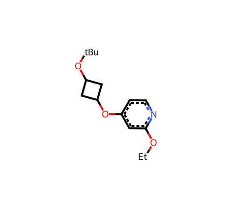 CCOc1cc(OC2CC(OC(C)(C)C)C2)ccn1